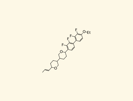 C/C=C/C1CCC(C2CCC(c3ccc(-c4ccc(OCC)c(F)c4F)c(F)c3F)OC2)CO1